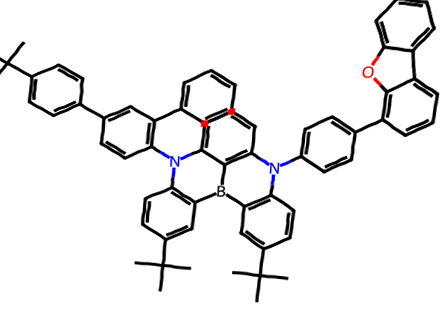 CC(C)(C)c1ccc(-c2ccc(N3c4ccc(C(C)(C)C)cc4B4c5cc(C(C)(C)C)ccc5N(c5ccc(-c6cccc7c6oc6ccccc67)cc5)c5cccc3c54)c(-c3ccccc3)c2)cc1